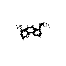 CCc1cccc2c1ccc1c(O)cc(=O)oc12